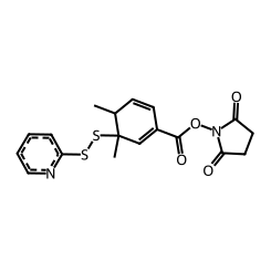 CC1C=CC(C(=O)ON2C(=O)CCC2=O)=CC1(C)SSc1ccccn1